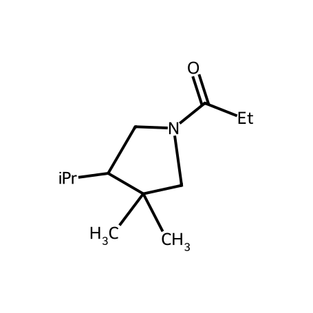 CCC(=O)N1CC(C(C)C)C(C)(C)C1